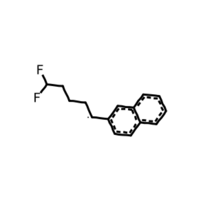 FC(F)CCC[CH]c1ccc2ccccc2c1